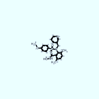 COc1ccc(S(=O)(=O)N(Cc2cccnc2)c2c(C)ccc(C)c2C(=O)NO)cc1